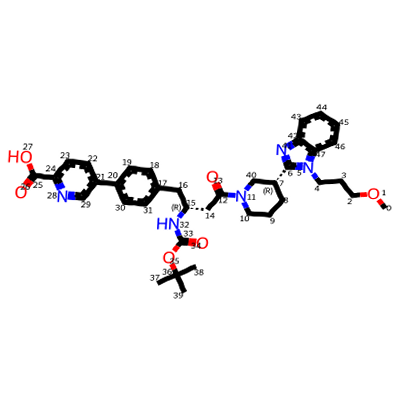 COCCCn1c([C@@H]2CCCN(C(=O)C[C@@H](Cc3ccc(-c4ccc(C(=O)O)nc4)cc3)NC(=O)OC(C)(C)C)C2)nc2ccccc21